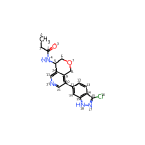 CCC(=O)NC1COCc2c(-c3ccc4c(Cl)n[nH]c4c3)cncc21